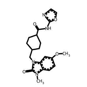 COc1ccc2c(c1)n(CC1CCC(C(=O)Nc3ncco3)CC1)c(=O)n2C